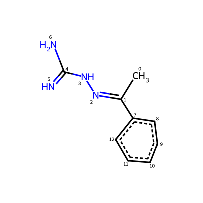 CC(=NNC(=N)N)c1c[c]ccc1